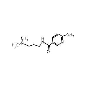 CN(C)CCCNC(=O)c1ccc(N)nc1